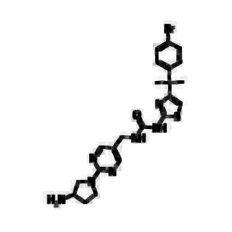 CC(C)(c1ccc(Br)cc1)c1csc(NC(=O)NCc2cnc(N3CCC(N)C3)nc2)n1